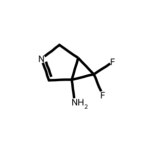 NC12C=NCC1C2(F)F